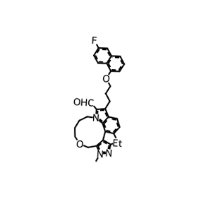 CCc1nn(C)c2c1-c1c(C)ccc3c(CCCOc4cccc5cc(F)ccc45)c(C=O)n(c13)CCCCOC2